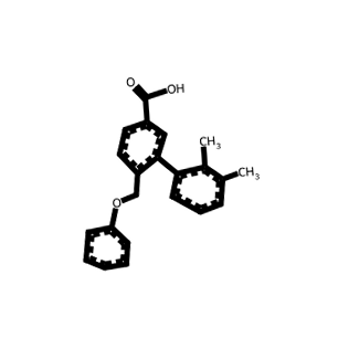 Cc1cccc(-c2cc(C(=O)O)ccc2COc2ccccc2)c1C